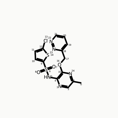 Cc1cnc(NS(=O)(=O)c2ccc(Cl)s2)c(OCc2cccnn2)n1